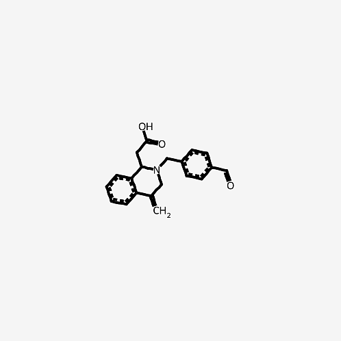 C=C1CN(Cc2ccc(C=O)cc2)C(CC(=O)O)c2ccccc21